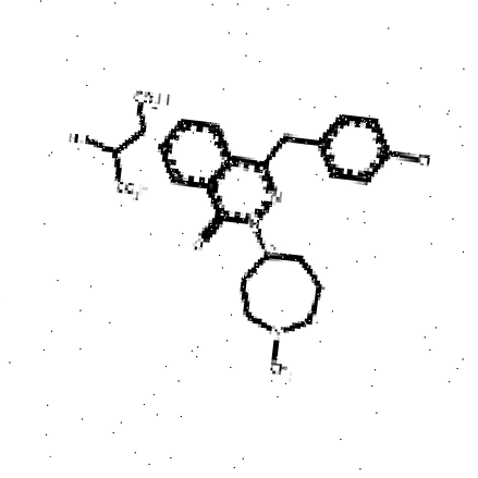 CN1CCC[C@H](n2nc(Cc3ccc(Cl)cc3)c3ccccc3c2=O)CC1.O=C(O)CC(O)C(=O)O